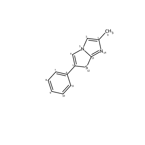 Cc1cn2cc(-c3ccccc3)sc2n1